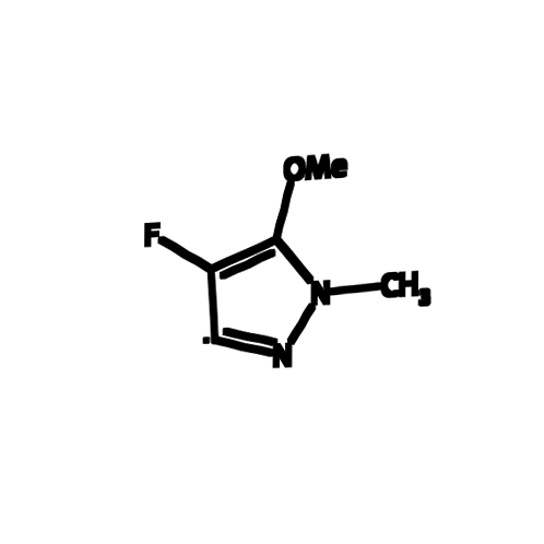 COc1c(F)[c]nn1C